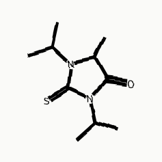 CC(C)N1C(=O)C(C)N(C(C)C)C1=S